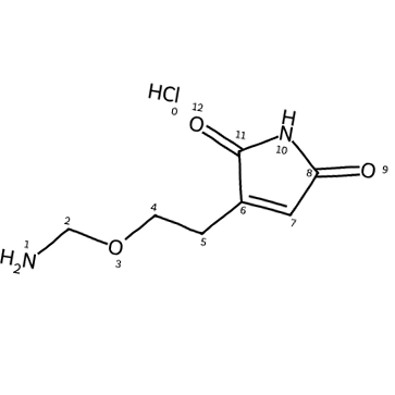 Cl.NCOCCC1=CC(=O)NC1=O